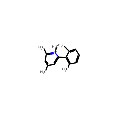 Cc1cc(C)[n+](C)c(-c2c(C)cccc2C)c1